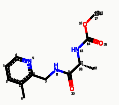 Cc1cccnc1CNC(=O)[C@@H](C)NC(=O)OC(C)(C)C